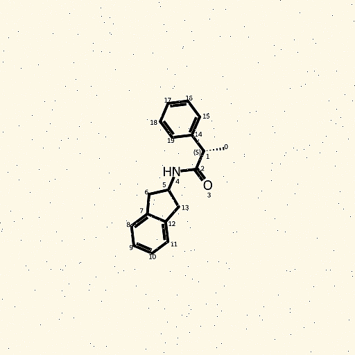 C[C@H](C(=O)NC1Cc2ccccc2C1)c1ccccc1